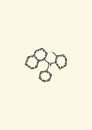 [CH2]c1ccccc1N(c1ccccc1)c1cccc2ccccc12